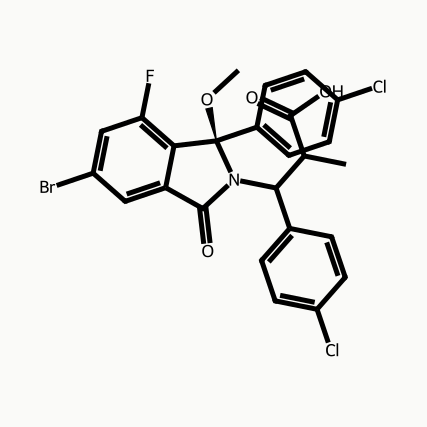 CO[C@]1(c2ccc(Cl)cc2)c2c(F)cc(Br)cc2C(=O)N1C(c1ccc(Cl)cc1)C(C)C(=O)O